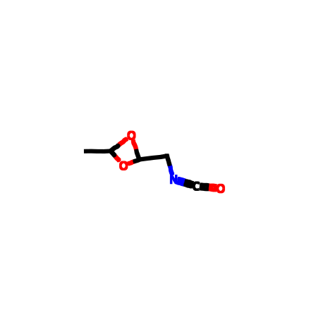 CC1OC(CN=C=O)O1